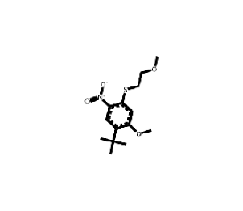 COCCSc1cc(OC)c(C(C)(C)C)cc1[N+](=O)[O-]